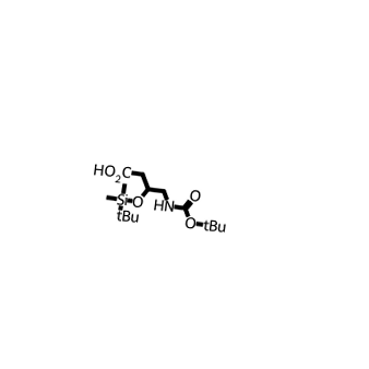 CC(C)(C)OC(=O)NCC(CC(=O)O)O[Si](C)(C)C(C)(C)C